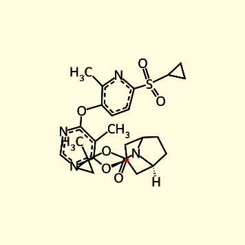 Cc1nc(S(=O)(=O)C2CC2)ccc1Oc1ncnc(O[C@H]2CC3CC[C@@H](C2)N3C(=O)OC2(C)CC2)c1C